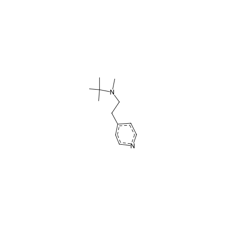 CN(CCc1ccncc1)C(C)(C)C